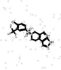 O=S(=O)(c1ccc(Cl)c(C(F)(F)F)c1)N1CCc2c(cnc3[nH]ncc23)C1